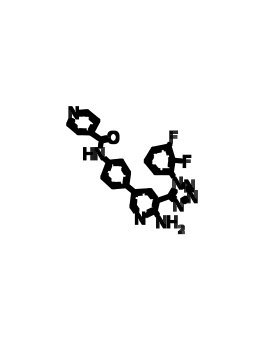 Nc1ncc(-c2ccc(NC(=O)c3ccncc3)cc2)cc1-c1nnnn1-c1cccc(F)c1F